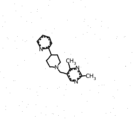 Cc1ncc(CN2CCC(c3ccccn3)CC2)c(C)n1